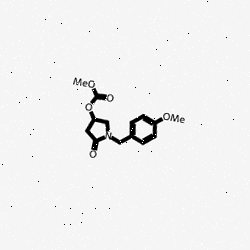 COC(=O)OC1CC(=O)N(Cc2ccc(OC)cc2)C1